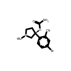 CC(C)(C)N1CC[C@](OC(N)=O)(c2ccc(Br)cc2C#N)C1